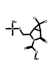 CC(C)(C)OC(=O)N1C(=O)C2C(C1CO[Si](C)(C)C(C)(C)C)C2(Cl)Cl